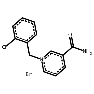 NC(=O)c1ccc[n+](Cc2ccccc2Cl)c1.[Br-]